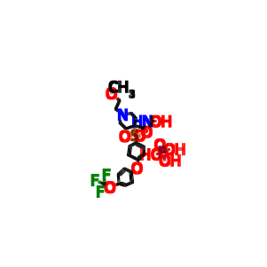 COCCN1CCC(C(=O)NO)(S(=O)(=O)c2ccc(Oc3ccc(OC(F)(F)F)cc3)cc2)CC1.O=P(O)(O)O